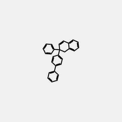 C1=CC(c2ccccc2)(c2ccc(-c3ccccc3)cc2)Cc2ccccc21